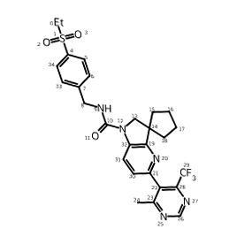 CCS(=O)(=O)c1ccc(CNC(=O)N2CC3(CCCC3)c3nc(-c4c(C)ncnc4C(F)(F)F)ccc32)cc1